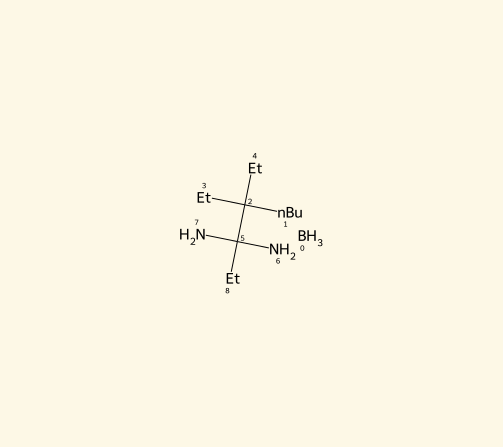 B.CCCCC(CC)(CC)C(N)(N)CC